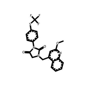 COc1cc(CN2CC(=O)N(c3ccc(SC(F)(F)F)cc3)C2=O)c2ccccc2n1